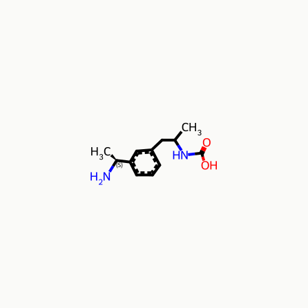 CC(Cc1cccc([C@H](C)N)c1)NC(=O)O